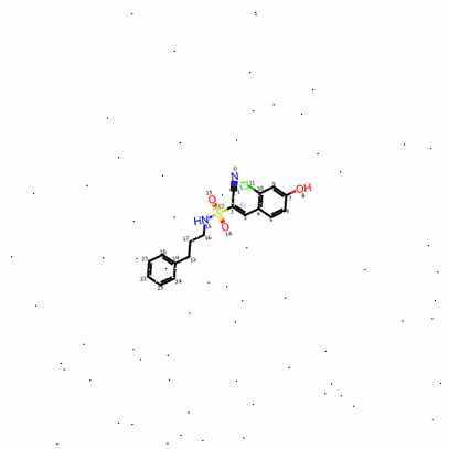 N#C/C(=C\c1ccc(O)cc1Cl)S(=O)(=O)NCCCc1ccccc1